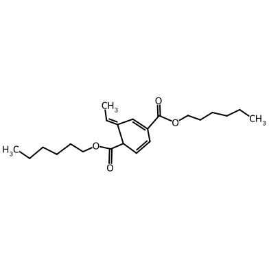 CC=C1C=C(C(=O)OCCCCCC)C=CC1C(=O)OCCCCCC